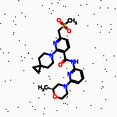 C[C@@H]1CN(c2cccc(NC(=O)c3ccc(CS(C)(=O)=O)nc3N3CCC4(CC3)CC4)n2)CCO1